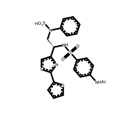 CC(=O)Nc1ccc(S(=O)(=O)N[C@@H](CN(c2ccccc2)S(=O)(=O)O)c2csc(-c3cccs3)n2)cc1